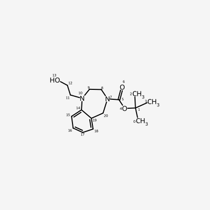 CC(C)(C)OC(=O)N1CCN(CCO)c2ccccc2C1